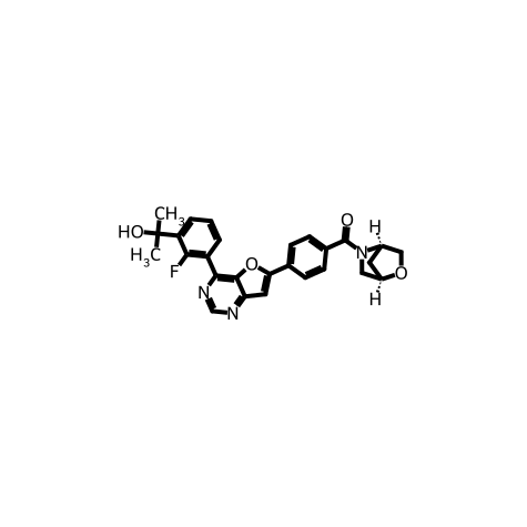 CC(C)(O)c1cccc(-c2ncnc3cc(-c4ccc(C(=O)N5C[C@H]6C[C@@H]5CO6)cc4)oc23)c1F